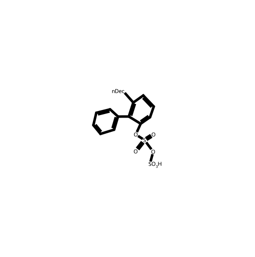 CCCCCCCCCCc1cccc(OS(=O)(=O)OS(=O)(=O)O)c1-c1ccccc1